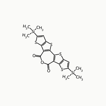 C[Si](C)(C)c1cc2sc3c4sc5cc([Si](C)(C)C)sc5c4c(=O)oc(=O)c3c2s1